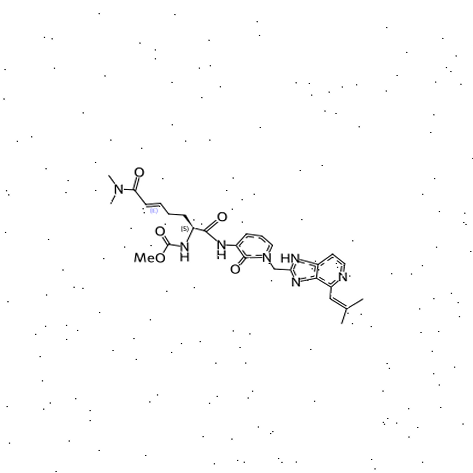 COC(=O)N[C@@H](CC/C=C/C(=O)N(C)C)C(=O)Nc1cccn(Cc2nc3c(C=C(C)C)nccc3[nH]2)c1=O